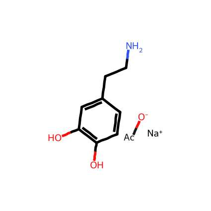 CC(=O)[O-].NCCc1ccc(O)c(O)c1.[Na+]